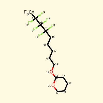 FC(F)(F)C(F)(F)C(F)(F)C(F)(F)CCCCCOC1CCCCO1